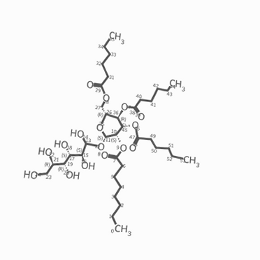 CCCCCCCC(=O)O[C@@H]1[C@H](OC(O)[C@@H](O)[C@@H](O)[C@H](O)[C@H](O)CO)O[C@H](COC(=O)CCCCC)[C@@H](OC(=O)CCCCC)[C@@H]1OC(=O)CCCCC